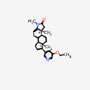 CCOc1cncc(C2=CCC3C4CC=C5N(C)C(=O)C[C@]5(C)C4CC[C@]23C)c1